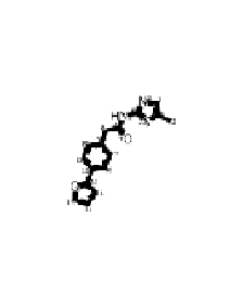 Cc1cnc(NC(=O)Cc2ccc(-c3ccco3)cc2)s1